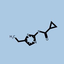 CCc1cnc([N]C(=O)C2CC2)s1